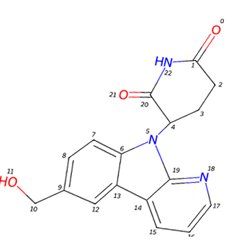 O=C1CCC(n2c3ccc(CO)cc3c3cccnc32)C(=O)N1